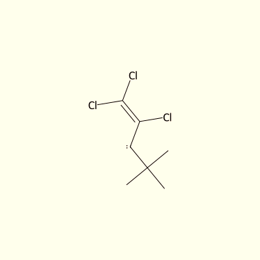 CC(C)(C)[C]C(Cl)=C(Cl)Cl